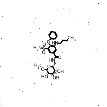 CCCCNc1cc(C(=O)NC[C@H]2OC(OC)[C@@H](O)[C@@H](O)[C@@H]2O)cc(S(N)(=O)=O)c1Oc1ccccc1